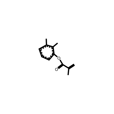 C=C(C)C(=O)Oc1cccc(C)c1C